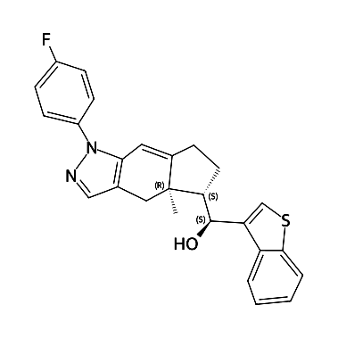 C[C@]12Cc3cnn(-c4ccc(F)cc4)c3C=C1CC[C@@H]2[C@H](O)c1csc2ccccc12